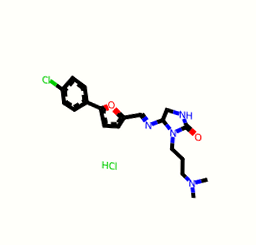 CN(C)CCCN1C(=O)NCC1N=Cc1ccc(-c2ccc(Cl)cc2)o1.Cl